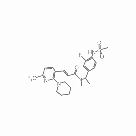 CC(NC(=O)C=Cc1ccc(C(F)(F)F)nc1N1CCCCC1)c1ccc(NS(C)(=O)=O)c(F)c1